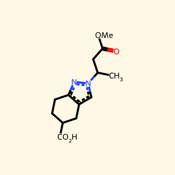 COC(=O)CC(C)n1cc2c(n1)CCC(C(=O)O)C2